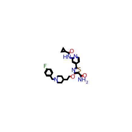 NC(=O)c1sc(-c2ccnc(NC(=O)C3CC3)c2)nc1OCCC1CCN(Cc2ccc(F)cc2)CC1